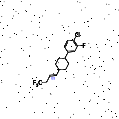 Fc1cc(C2CCC(/C=C/CC(F)(F)F)CC2)ccc1Cl